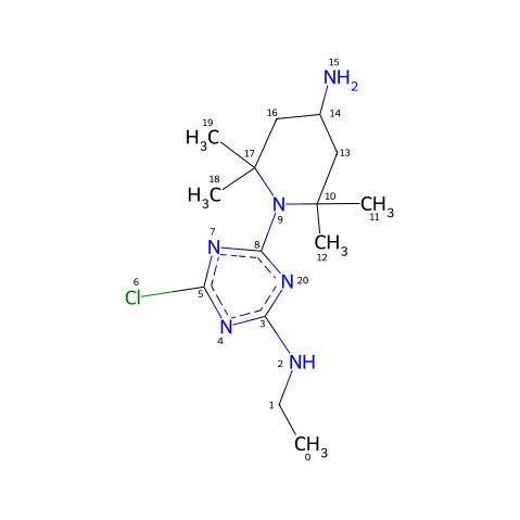 CCNc1nc(Cl)nc(N2C(C)(C)CC(N)CC2(C)C)n1